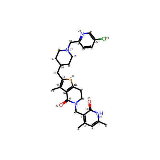 Cc1cc(C)c(CN2CCc3sc(CC4CCN(Cc5ccc(Cl)cn5)CC4)c(C)c3C2=O)c(=O)[nH]1